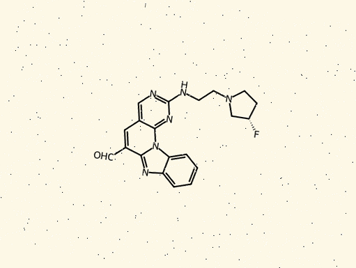 O=Cc1cc2cnc(NCCN3CC[C@H](F)C3)nc2n2c1nc1ccccc12